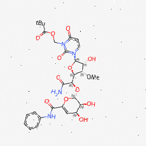 CO[C@H]1[C@@H](O)[C@H](n2ccc(=O)n(COC(=O)C(C)(C)C)c2=O)O[C@@H]1[C@@H](O[C@H]1OC(C(=O)Nc2ccccc2)=C[C@H](O)[C@@H]1O)C(N)=O